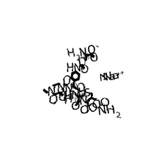 CCN1CCN(C(=O)N[C@@H](C(=O)N[C@@H]2C(=O)N3C(C(=O)[O-])=C(COC(N)=O)CS[C@@H]23)c2ccc(NC(=O)OC[C@@H](N)C(=O)[O-])cc2)C(=O)C1=O.[Na+].[Na+]